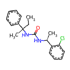 CCC(C)(NC(=O)NC(C)c1ccccc1Cl)c1ccccc1